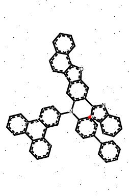 c1ccc(-c2ccc(N(c3ccc4c5ccccc5c5ccccc5c4c3)c3cc4c(cc3-c3nc5ccccc5o3)oc3c5ccccc5ccc43)cc2)cc1